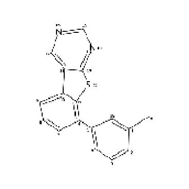 Cc1cccc(-c2cccc3c2sc2ncncc23)c1